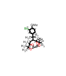 COc1ccc(C(C)(C)C2CC3(C)OB(OC3(C)C)B3OC(C)(C)C2(C)O3)cc1Br